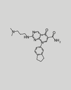 CN(C)CCCNc1ncc2c(=O)c(C(N)=O)cn(-c3ccc4c(c3)CCC4)c2n1